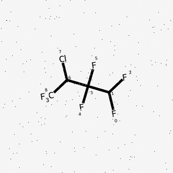 FC(F)C(F)(F)[C](Cl)C(F)(F)F